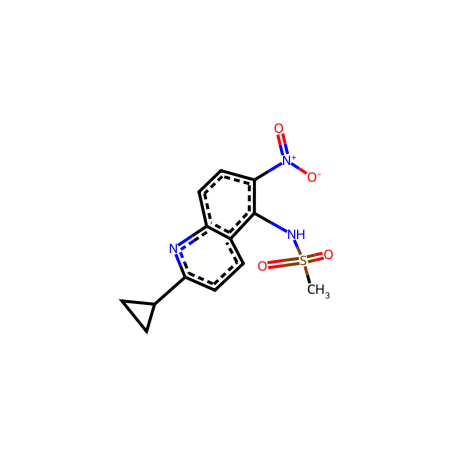 CS(=O)(=O)Nc1c([N+](=O)[O-])ccc2nc(C3CC3)ccc12